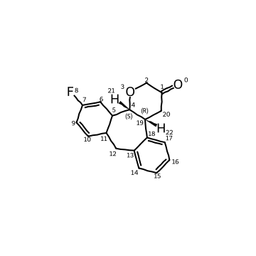 O=C1CO[C@H]2C3C=C(F)C=CC3Cc3ccccc3[C@H]2C1